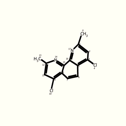 Cc1cc(Cl)c2ccc3c(Cl)cc(C)nc3c2n1